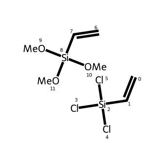 C=C[Si](Cl)(Cl)Cl.C=C[Si](OC)(OC)OC